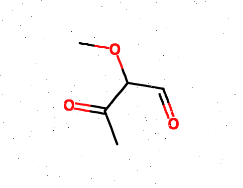 COC(C=O)C(C)=O